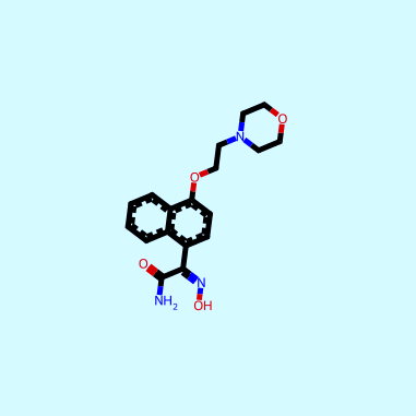 NC(=O)/C(=N\O)c1ccc(OCCN2CCOCC2)c2ccccc12